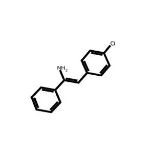 NC(=Cc1ccc(Cl)cc1)c1ccccc1